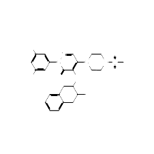 CS(=O)(=O)N1CCN(c2cnn(-c3cc(F)cc(F)c3)c(=O)c2OC2Cc3ccccc3CC2F)CC1